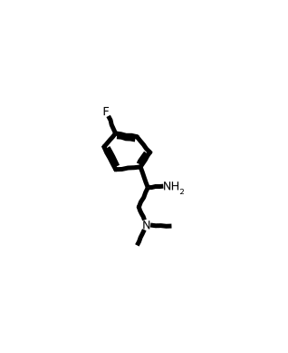 CN(C)CC(N)c1ccc(F)cc1